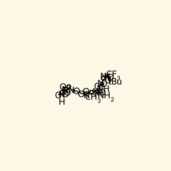 CN(CCOCCOCCNc1cccc2c1C(=O)N(C1CCC(=O)NC1=O)C2=O)C(=O)c1ccc(-n2cc(NC(=O)c3coc(-c4ccnc(N(CC(F)(F)F)C(=O)OC(C)(C)C)c4)n3)c(C(N)=O)n2)cc1